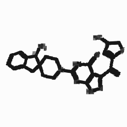 C=C(c1cc(C#N)cs1)c1n[nH]c2nc(N3CCC4(CC3)Cc3ccccc3[C@H]4N)[nH]c(=O)c12